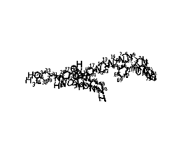 COc1cc(CN2CCN(C3CN(C4CCN(c5ccc(C(=O)NS(=O)(=O)c6ccc(NCC7CCC(C)(O)CC7)c([N+](=O)[O-])c6)c(N6c7cc8cc[nH]c8nc7O[C@H]7COCC[C@@H]76)c5)CC4)C3)[C@H](c3ccccc3C(C)C)C2)cnc1N1CCOCC1